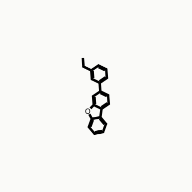 CCc1cccc(-c2ccc3c(c2)oc2ccccc23)c1